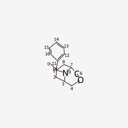 CC1CC2COCC(C1)N2Cc1ccccc1